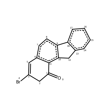 O=C1CC(Br)=Cc2ccc3c(c21)Cc1ccccc1-3